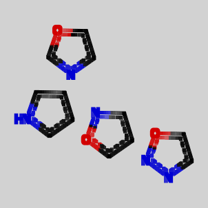 c1cc[nH]c1.c1cnoc1.c1cocn1.c1conn1